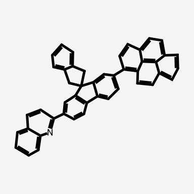 c1ccc2c(c1)CC1(C2)c2cc(-c3ccc4ccccc4n3)ccc2-c2ccc(-c3ccc4ccc5cccc6ccc3c4c56)cc21